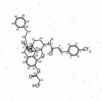 CN(C(=O)/C=C/c1ccc(C(F)(F)F)cc1)C1CC[C@H]2[C@H]3Cc4ccc(OC(=O)CO)c5c4[C@@]2(CCN3CCc2ccccc2)C1O5